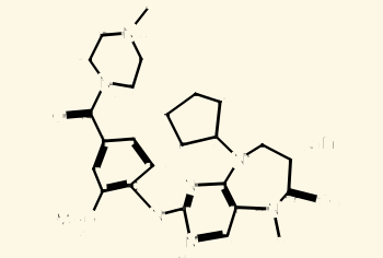 CCC[C@H]1CN(C2CCCC2)c2nc(Nc3ccc(C(=O)N4CCN(C)CC4)cc3OC)ncc2N(C)C1=O